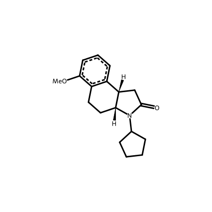 COc1cccc2c1CC[C@@H]1[C@H]2CC(=O)N1C1CCCC1